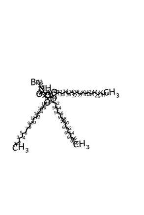 CCCCCCCCCCCCCCCCCCOc1cc(C(=O)NCCBr)cc(OCCCCCCCCCCCCCCCCCC)c1OCCCCCCCCCCCCCCCCCC